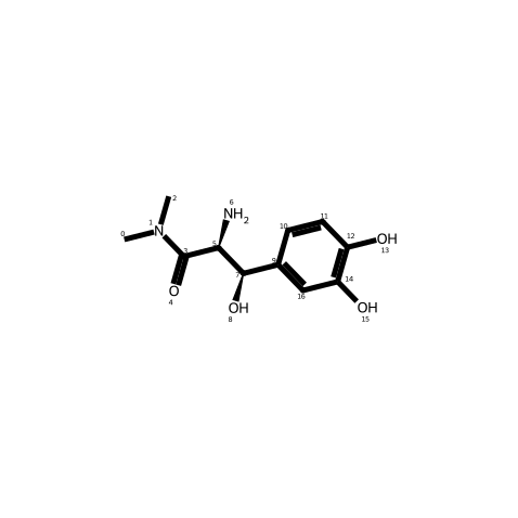 CN(C)C(=O)[C@@H](N)[C@H](O)c1ccc(O)c(O)c1